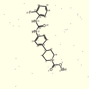 CC(C)(C)OC(=O)N1CCC(c2ccc(NC(=O)Nc3ccccc3F)cc2)CC1